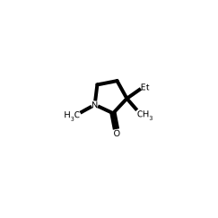 CCC1(C)CCN(C)C1=O